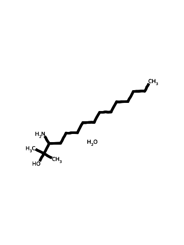 CCCCCCCCCCCCC(N)C(C)(C)O.O